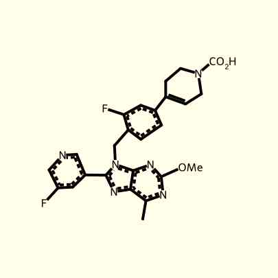 COc1nc(C)c2nc(-c3cncc(F)c3)n(Cc3ccc(C4=CCN(C(=O)O)CC4)cc3F)c2n1